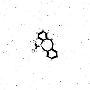 CCC(=O)N1Cc2ccccc2CCc2ccccc21